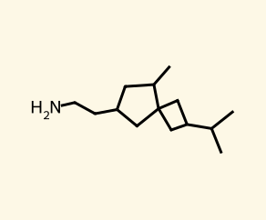 CC(C)C1CC2(CC(CCN)CC2C)C1